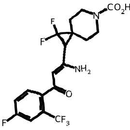 NC(=CC(=O)c1ccc(F)cc1C(F)(F)F)C1C(F)(F)C12CCN(C(=O)O)CC2